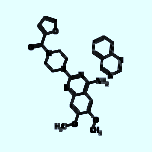 COc1cc2nc(N3CCN(C(=O)c4ccco4)CC3)nc(N)c2cc1OC.c1ccc2ncncc2c1